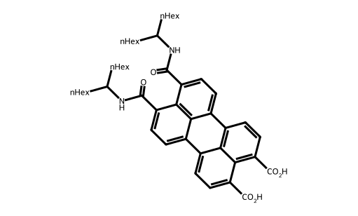 CCCCCCC(CCCCCC)NC(=O)c1ccc2c3ccc(C(=O)O)c4c(C(=O)O)ccc(c5ccc(C(=O)NC(CCCCCC)CCCCCC)c1c25)c43